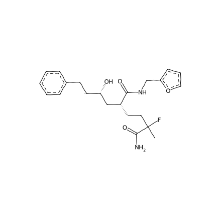 CC(F)(CC[C@H](C[C@@H](O)[CH]Cc1ccccc1)C(=O)NCc1ccco1)C(N)=O